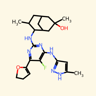 Cc1cc(Nc2nc(NC3C(C)CC4CC3CC(C)(O)C4)nc(C3=CCCO3)c2F)n[nH]1